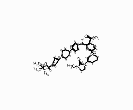 CN1CCN([C@@H]2CCCN(c3cnc(C(N)=O)c(Nc4ccc(C5CCN(C6CN(C(=O)OC(C)(C)C)C6)CC5)cc4)n3)C2)C1=O